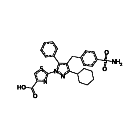 NS(=O)(=O)c1ccc(Cc2c(C3CCCCC3)nn(-c3nc(C(=O)O)cs3)c2-c2ccccc2)cc1